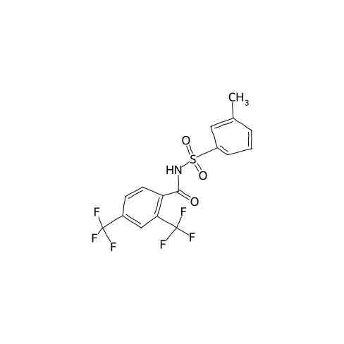 Cc1cccc(S(=O)(=O)NC(=O)c2ccc(C(F)(F)F)cc2C(F)(F)F)c1